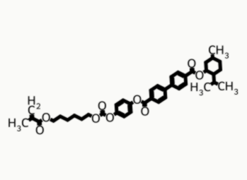 C=C(C)C(=O)OCCCCCCOC(=O)Oc1ccc(OC(=O)c2ccc(-c3ccc(C(=O)OC4CC(C)CCC4C(C)C)cc3)cc2)cc1